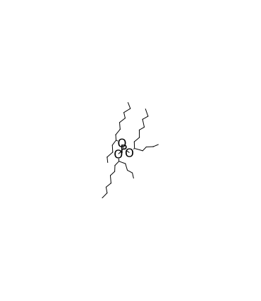 CCCCCCCC(CCCC)OP(OC(CCCC)CCCCCCC)OC(CCCC)CCCCCCC